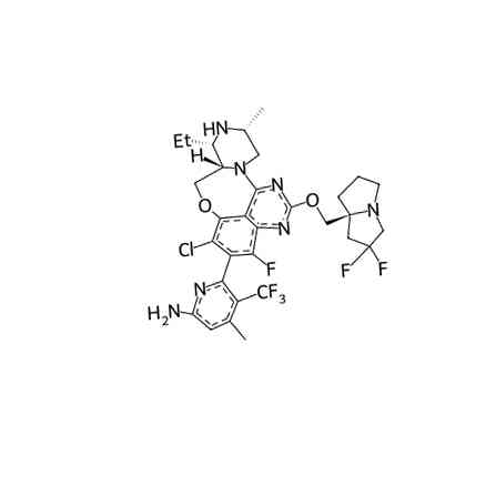 CC[C@@H]1N[C@H](C)CN2c3nc(OC[C@@]45CCCN4CC(F)(F)C5)nc4c(F)c(-c5nc(N)cc(C)c5C(F)(F)F)c(Cl)c(c34)OC[C@H]12